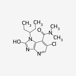 CCC(CC)n1c(O)nc2ncc(Cl)c(C(=O)N(C)C)c21